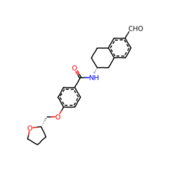 O=Cc1ccc2c(c1)CC[C@@H](NC(=O)c1ccc(OC[C@@H]3CCCO3)cc1)C2